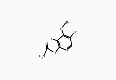 CC(C)Oc1c(Br)cnc(OC(N)=O)c1F